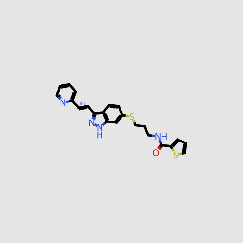 O=C(NCCCSc1ccc2c(/C=C/c3ccccn3)n[nH]c2c1)c1cccs1